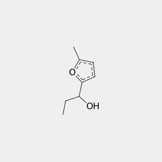 CCC(O)c1ccc(C)o1